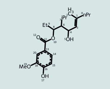 CCC/C(C)=C/C(O)C(C(C)C)C(CC)OC(=O)c1ccc(O)c(OC)c1